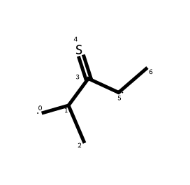 [CH2]C(C)C(=S)[CH]C